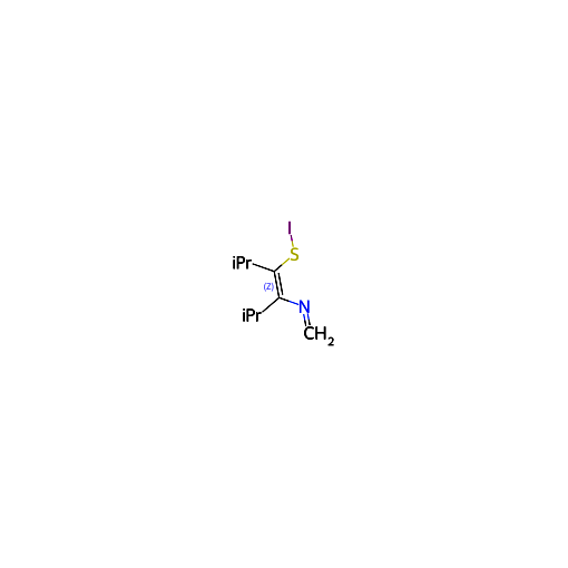 C=N/C(=C(\SI)C(C)C)C(C)C